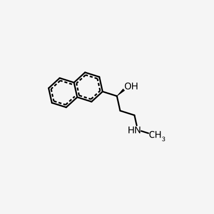 CNCC[C@H](O)c1ccc2ccccc2c1